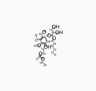 CCCCCCOC(=O)C(O)CO.CCOC(C)OCC.CCc1c(C=O)ccc(O)c1OC